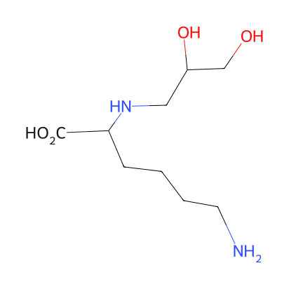 NCCCCC(NCC(O)CO)C(=O)O